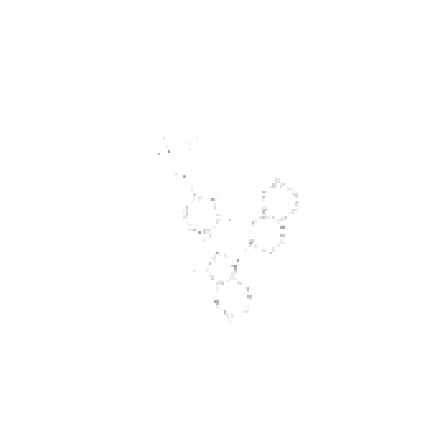 CC1(C)OB(c2ccc(-c3nc4ccccc4n3-c3ccc4ccccc4c3)cc2)OC1(C)C